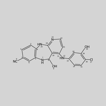 N#Cc1ccc2c(c1)NC(O)c1c(Nc3ccc(Cl)c(O)c3)ccnc1N2